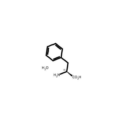 N[C@@H](Cc1ccccc1)C(=O)O.O